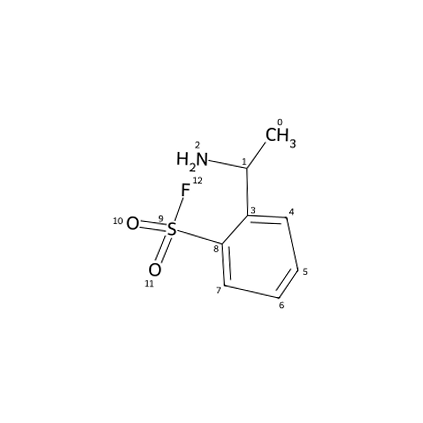 CC(N)c1ccccc1S(=O)(=O)F